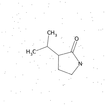 CC(C)C1CC[N]C1=O